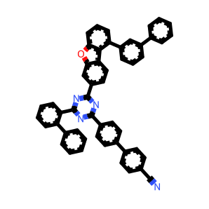 N#Cc1ccc(-c2ccc(-c3nc(-c4ccc5c(c4)oc4cccc(-c6cccc(-c7ccccc7)c6)c45)nc(-c4ccccc4-c4ccccc4)n3)cc2)cc1